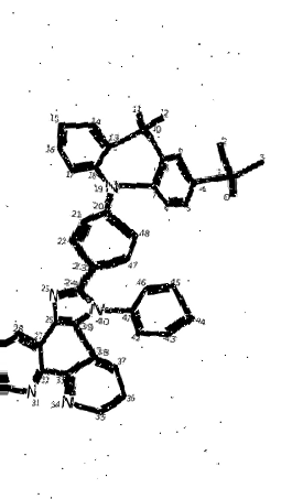 CC(C)(C)c1ccc2c(c1)C(C)(C)c1ccccc1N2c1ccc(-c2nc3c4cccnc4c4ncccc4c3n2-c2ccccc2)cc1